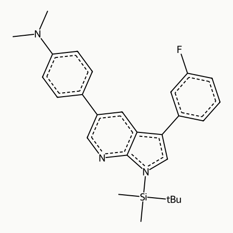 CN(C)c1ccc(-c2cnc3c(c2)c(-c2cccc(F)c2)cn3[Si](C)(C)C(C)(C)C)cc1